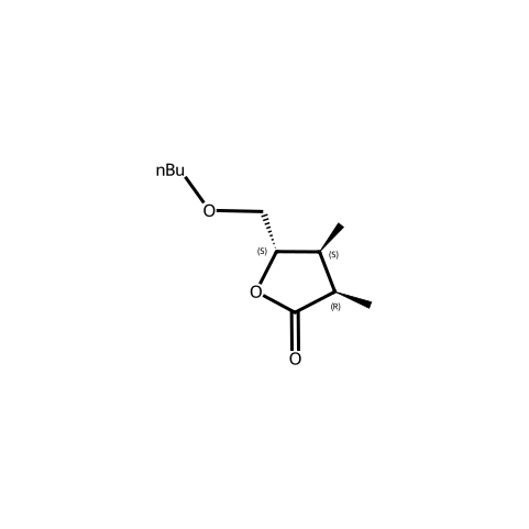 CCCCOC[C@H]1OC(=O)[C@H](C)[C@@H]1C